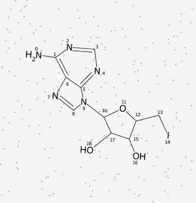 Nc1ncnc2c1ncn2C1OC(CI)C(O)C1O